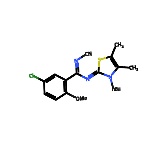 CCCCn1c(C)c(C)sc1=NC(=NC#N)c1cc(Cl)ccc1OC